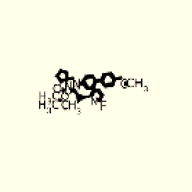 COCc1ccc(-c2ccc(N(CC3(NC(=O)OC(C)(C)C)CCCC3)C(=O)C3CC3c3cccc(F)n3)cc2)cc1